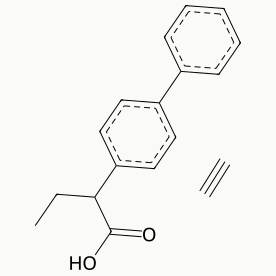 C#C.CCC(C(=O)O)c1ccc(-c2ccccc2)cc1